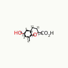 Cc1cc(O)cc2c1OC(C(=O)O)CC2